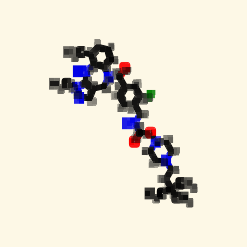 Cc1cccc2c1Nc1c(cnn1C)CN2C(=O)c1ccc(CNC(=O)ON2CCN(CCC(C)(C)C)CC2)c(F)c1